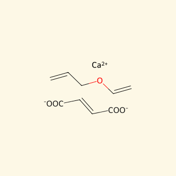 C=CCOC=C.O=C([O-])C=CC(=O)[O-].[Ca+2]